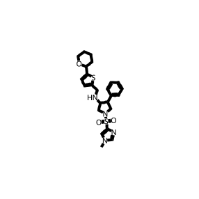 Cn1cnc(S(=O)(=O)N2CC(NCc3ccc(C4CCCCO4)s3)C(c3ccccc3)C2)c1